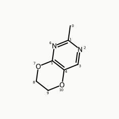 Cc1ncc2c(n1)OCCO2